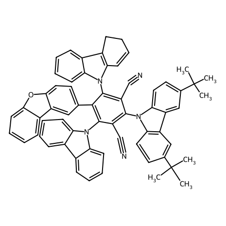 CC(C)(C)c1ccc2c(c1)c1cc(C(C)(C)C)ccc1n2-c1c(C#N)c(-n2c3c(c4ccccc42)CCC=C3)c(-c2ccc3oc4ccccc4c3c2)c(-n2c3ccccc3c3ccccc32)c1C#N